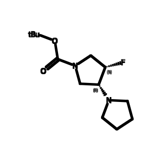 CC(C)(C)OC(=O)N1C[C@@H](N2CCCC2)[C@@H](F)C1